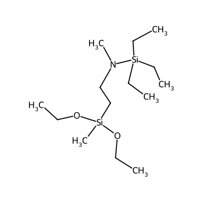 CCO[Si](C)(CCN(C)[Si](CC)(CC)CC)OCC